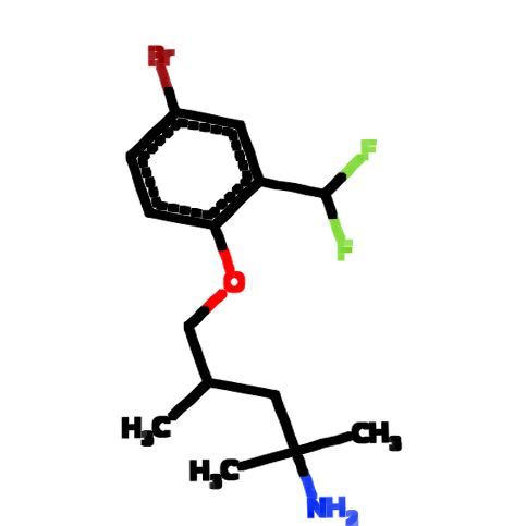 CC(COc1ccc(Br)cc1C(F)F)CC(C)(C)N